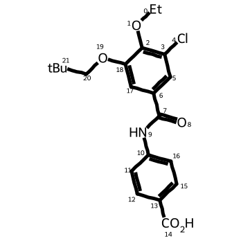 CCOc1c(Cl)cc(C(=O)Nc2ccc(C(=O)O)cc2)cc1OCC(C)(C)C